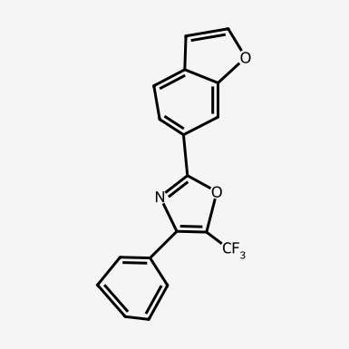 FC(F)(F)c1oc(-c2ccc3ccoc3c2)nc1-c1ccccc1